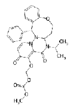 COC(=O)OCOc1c2n(ccc1=O)N1C(CCOc3ccccc3[C@H]1c1ccccc1)N(C(C)C)C2=O